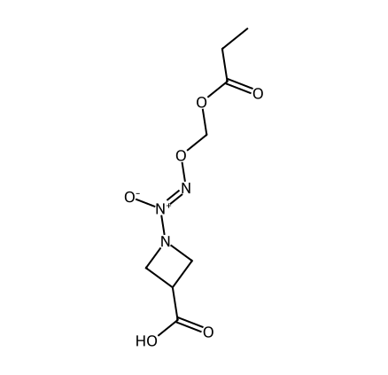 CCC(=O)OCON=[N+]([O-])N1CC(C(=O)O)C1